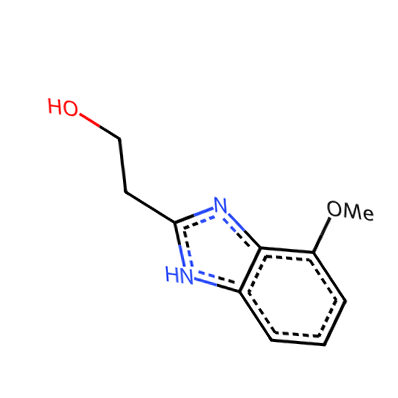 COc1cccc2[nH]c(CCO)nc12